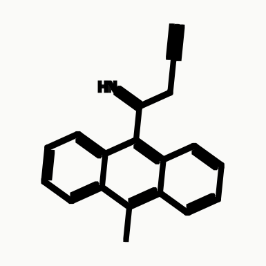 C#CCC(=N)c1c2ccccc2c(C)c2ccccc12